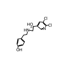 Oc1ccc(CCNC[C@H](O)c2cnc(Cl)c(Cl)c2)cc1